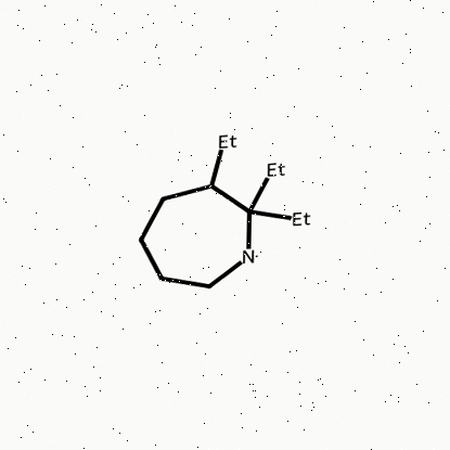 CCC1CCCC[N]C1(CC)CC